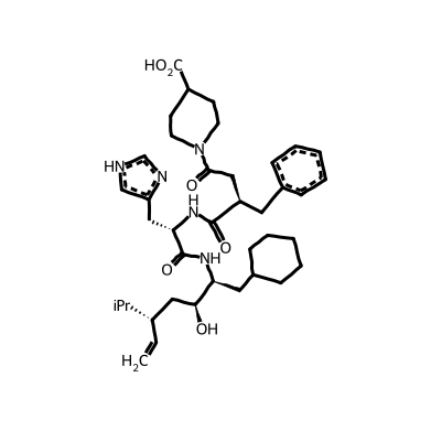 C=C[C@@H](C[C@H](O)[C@H](CC1CCCCC1)NC(=O)[C@H](Cc1c[nH]cn1)NC(=O)[C@@H](CC(=O)N1CCC(C(=O)O)CC1)Cc1ccccc1)C(C)C